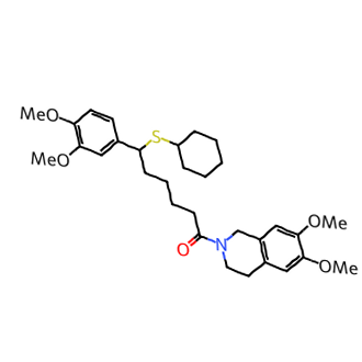 COc1ccc(C(CCCCC(=O)N2CCc3cc(OC)c(OC)cc3C2)SC2CCCCC2)cc1OC